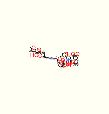 CO[C@@H]1C[C@H](C[C@@H](C)[C@H](C)OC(=O)[C@@H]2CCCCN2C(=O)C(=O)[C@]2(O)O[C@H](CC(OCC3CCOCC3)/C(C)=C/C=C/C=C/[C@@H](C)C[C@@H](C)C(=O)[C@H](OC)[C@H](O)/C(C)=C/[C@@H](C)C(C)=O)CC[C@H]2C)CC[C@H]1O